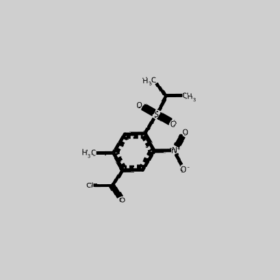 Cc1cc(S(=O)(=O)C(C)C)c([N+](=O)[O-])cc1C(=O)Cl